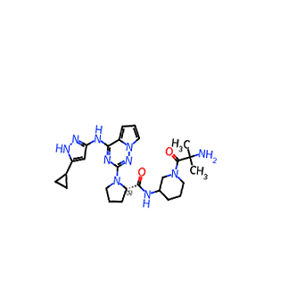 CC(C)(N)C(=O)N1CCCC(NC(=O)[C@@H]2CCCN2c2nc(Nc3cc(C4CC4)[nH]n3)c3cccn3n2)C1